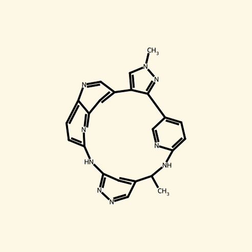 CC1Nc2ccc(cn2)-c2nn(C)cc2-c2cnc3ccc(nc3c2)Nc2cc1cnn2